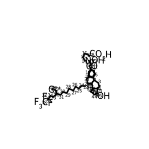 C[C@]12CCC3c4ccc(OP(=O)(O)N5CCC[C@H]5C(=O)O)cc4C[C@@H](CCCCCCCCCC(CCC(F)(F)C(F)(F)F)[S+]=O)[C@H]3[C@@H]1CC[C@@H]2O